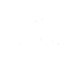 C=C[S+]([O-])N1CCCC(Oc2nc(-c3cnn(C)c3)cn3nccc23)CC1